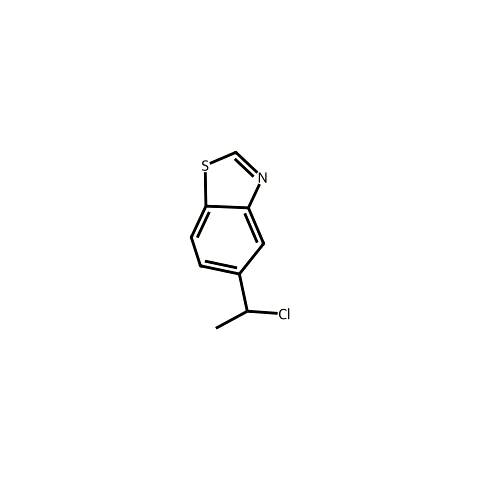 CC(Cl)c1ccc2scnc2c1